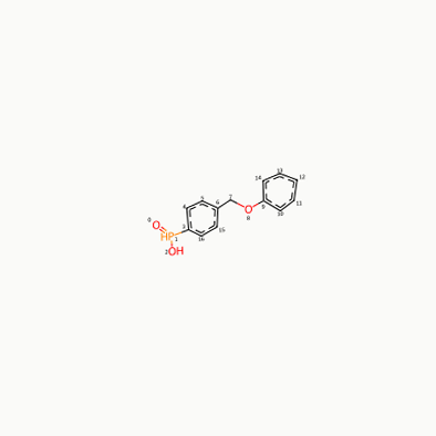 O=[PH](O)c1ccc(COc2ccccc2)cc1